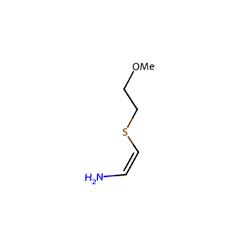 COCCS/C=C\N